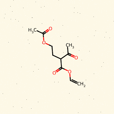 C=COC(=O)C(CCOC(C)=O)C(C)=O